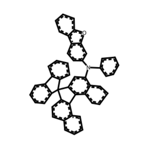 c1ccc(N(c2ccc3c(c2)oc2ccccc23)c2cc3c(c4ccccc24)-c2c(ccc4ccccc24)C32c3ccccc3-c3ccccc32)cc1